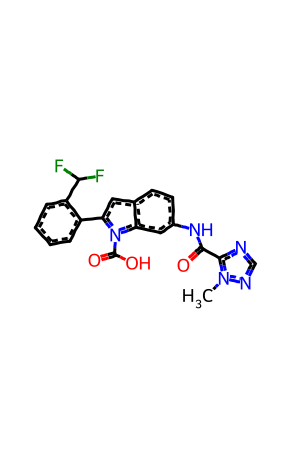 Cn1ncnc1C(=O)Nc1ccc2cc(-c3ccccc3C(F)F)n(C(=O)O)c2c1